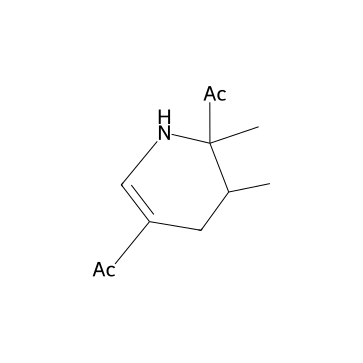 CC(=O)C1=CNC(C)(C(C)=O)C(C)C1